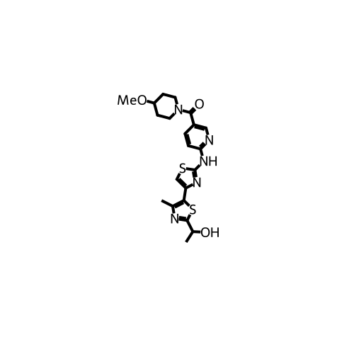 COC1CCN(C(=O)c2ccc(Nc3nc(-c4sc(C(C)O)nc4C)cs3)nc2)CC1